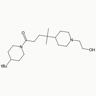 CC(C)(C)C1CCN(C(=O)CCC(C)(C)C2CCN(CCO)CC2)CC1